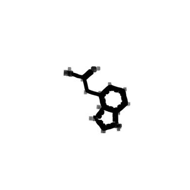 O=C(O)Cc1cccc2[se]cnc12